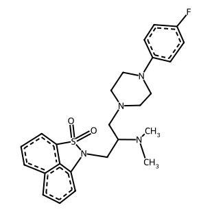 CN(C)C(CN1CCN(c2ccc(F)cc2)CC1)CN1c2cccc3cccc(c23)S1(=O)=O